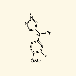 COc1ccc([C@@H](c2cnn(C)c2)C(C)C)cc1F